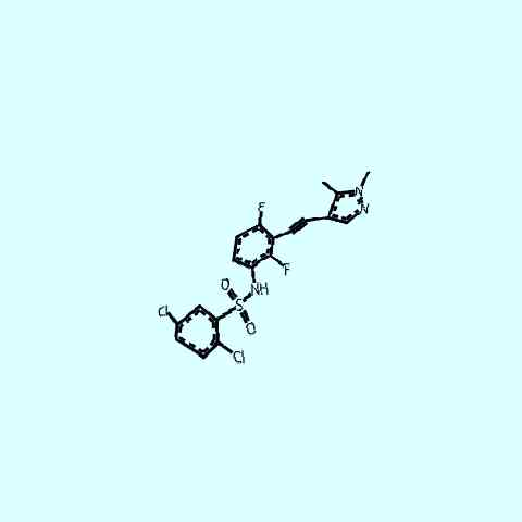 Cc1c(C#Cc2c(F)ccc(NS(=O)(=O)c3cc(Cl)ccc3Cl)c2F)cnn1C